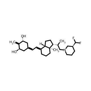 C=C1[C@H](O)CC(=C/C=C2\CCC[C@]3(C)[C@@H](C(C)CN4CCC[C@H](C(F)F)C4)CC[C@@H]23)C[C@H]1O